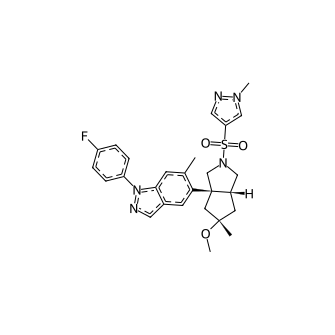 CO[C@@]1(C)C[C@H]2CN(S(=O)(=O)c3cnn(C)c3)C[C@@]2(c2cc3cnn(-c4ccc(F)cc4)c3cc2C)C1